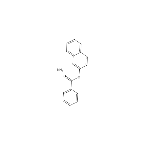 N.O=C(Oc1ccc2ccccc2c1)c1ccccc1